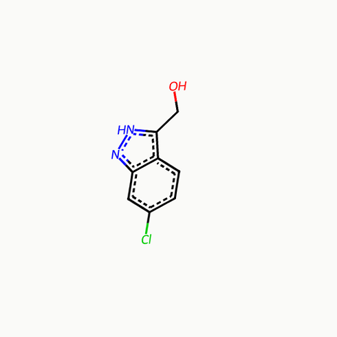 OCc1[nH]nc2cc(Cl)ccc12